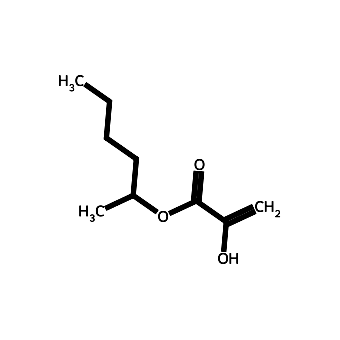 C=C(O)C(=O)OC(C)CCCC